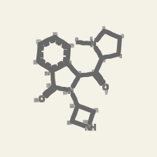 CN1CCCC1C(=O)C1c2ccccc2C(=O)N1C1CNC1